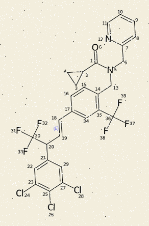 O=C(C1CC1)N(Cc1ccccn1)Cc1ccc(/C=C/C(c2cc(Cl)c(Cl)c(Cl)c2)C(F)(F)F)cc1C(F)(F)F